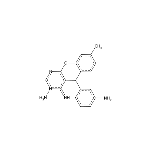 Cc1ccc2c(c1)Oc1ncn(N)c(=N)c1C2c1cccc(N)c1